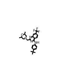 CC1CN(Cc2nc(Nc3ccc(C(C)(C)C)cc3)c3ccc(C(F)(F)F)cc3n2)CC(C)O1